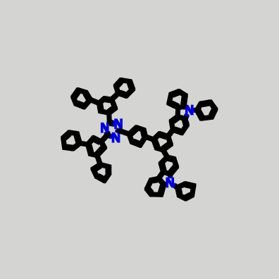 c1ccc(-c2cc(-c3ccccc3)cc(-c3nc(-c4ccc(-c5cc(-c6ccc7c(c6)c6ccccc6n7-c6ccccc6)cc(-c6ccc7c(c6)c6ccccc6n7-c6ccccc6)c5)cc4)nc(-c4cc(-c5ccccc5)cc(-c5ccccc5)c4)n3)c2)cc1